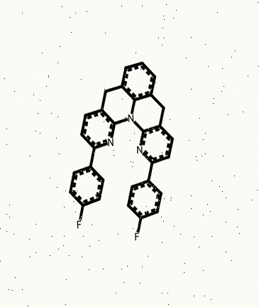 Fc1ccc(-c2ccc3c(n2)N2c4nc(-c5ccc(F)cc5)ccc4Cc4cccc(c42)C3)cc1